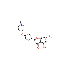 COc1cc(OC)c2c(=O)cc(-c3ccc(OC4CCN(C)CC4)cc3)oc2c1